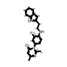 Cc1cc(=O)n(-c2ccc(NCCc3cc4ccccc4[nH]3)c(F)c2)c(C)n1